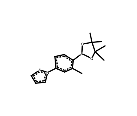 Cc1cc(-n2cccn2)ccc1B1OC(C)(C)C(C)(C)O1